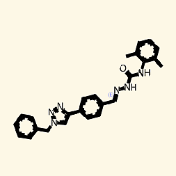 Cc1cccc(C)c1NC(=O)N/N=C/c1ccc(-c2cn(Cc3ccccc3)nn2)cc1